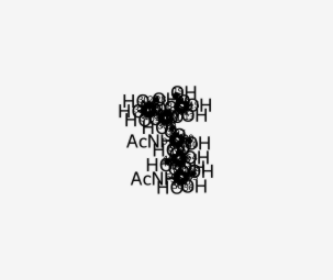 CC(=O)N[C@H]1[C@H](OC[C@H]2O[C@@H](O[C@H]3[C@H](O)[C@@H](O)[C@H](O)O[C@@H]3CO)[C@H](O)[C@@H](O[C@H]3O[C@H](CO)[C@H](O)[C@H](O)[C@H]3O)[C@H]2O)O[C@H](CO)[C@@H](O[C@@H]2O[C@H](CO)[C@H](O[C@@H]3O[C@H](CO)[C@H](O)[C@H](O)[C@H]3NC(C)=O)[C@H](O)[C@H]2O)[C@@H]1O